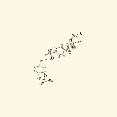 O=S(=O)(CCCc1cccc(OC(F)(F)F)c1)c1ccc(S(=O)(=O)Nc2ncc(Cl)s2)cc1